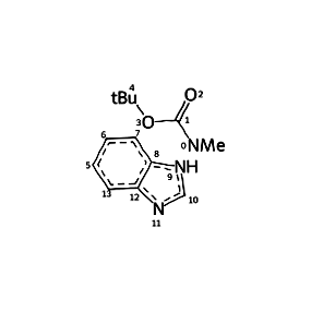 CNC(=O)OC(C)(C)C.c1ccc2[nH]cnc2c1